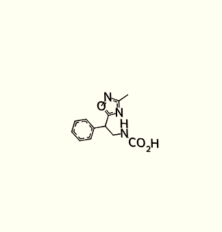 Cc1noc(C(CNC(=O)O)c2ccccc2)n1